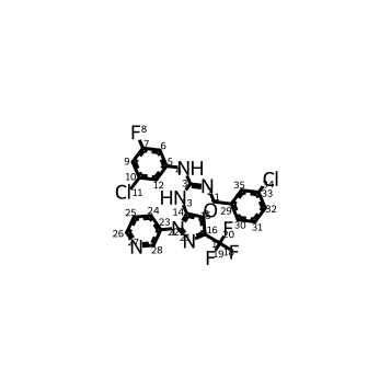 O=C(/N=C(/Nc1cc(F)cc(Cl)c1)Nc1cc(C(F)(F)F)nn1-c1cccnc1)c1cccc(Cl)c1